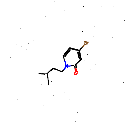 CC(C)CCn1ccc(Br)cc1=O